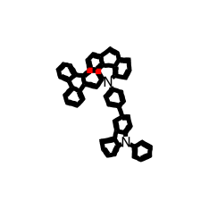 c1ccc(-n2c3ccccc3c3cc(-c4ccc(N(c5ccc6c7ccccc7c7ccccc7c6c5)c5cccc6ccc7ccccc7c56)cc4)ccc32)cc1